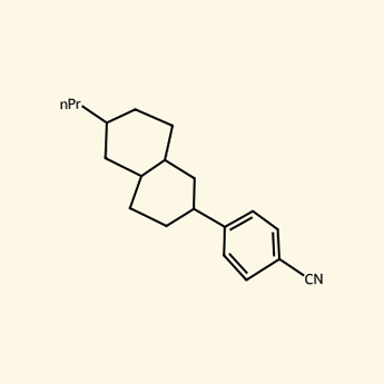 CCCC1CCC2CC(c3ccc(C#N)cc3)CCC2C1